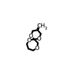 C=C1COC2(COCCCO2)OC1